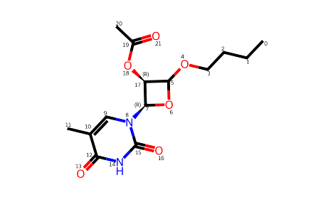 CCCCOC1O[C@@H](n2cc(C)c(=O)[nH]c2=O)[C@H]1OC(C)=O